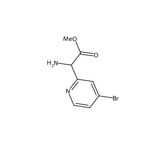 COC(=O)C(N)c1cc(Br)ccn1